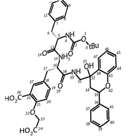 CC(C)(C)OC(=O)N[C@@H](Cc1ccccc1)C(=O)N[C@@H](Cc1ccc(OCC(=O)O)c(C(=O)O)c1)C(=O)NCC1(O)CC(c2ccccc2)Oc2ccccc21